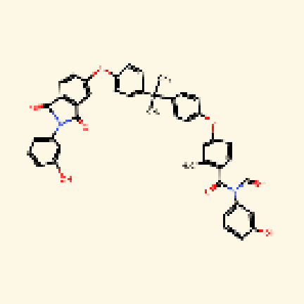 Cc1cc(Oc2ccc(C(C)(C)c3ccc(Oc4ccc5c(c4)C(=O)N(c4cccc(O)c4)C5=O)cc3)cc2)ccc1C(=O)N(C=O)c1cccc(O)c1